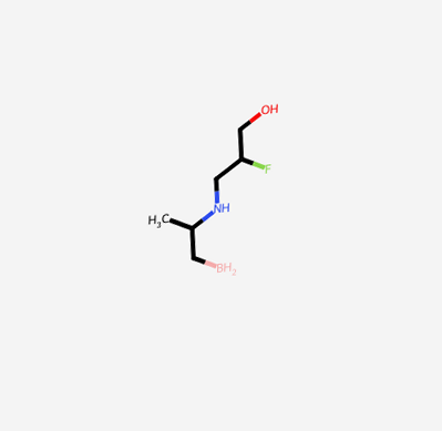 BCC(C)NCC(F)CO